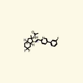 CC(=O)NC1(C)C[C@H]2CCC(F)(F)C[C@H]2[C@@H]1/C=C/c1ccc(-c2cccc(F)c2)cn1